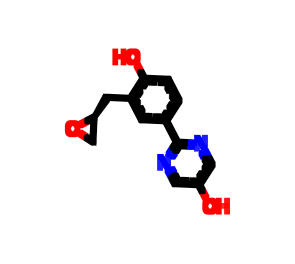 Oc1cnc(-c2ccc(O)c(C[C@H]3CO3)c2)nc1